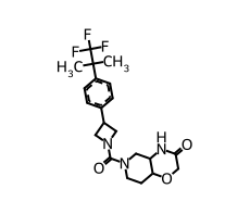 CC(C)(c1ccc(C2CN(C(=O)N3CCC4OCC(=O)NC4C3)C2)cc1)C(F)(F)F